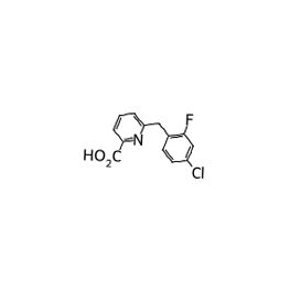 O=C(O)c1cccc(Cc2ccc(Cl)cc2F)n1